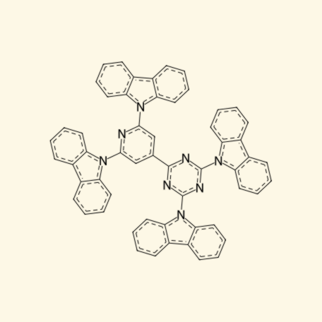 c1ccc2c(c1)c1ccccc1n2-c1cc(-c2nc(-n3c4ccccc4c4ccccc43)nc(-n3c4ccccc4c4ccccc43)n2)cc(-n2c3ccccc3c3ccccc32)n1